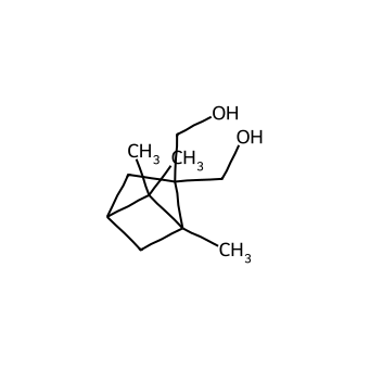 CC1(C)C2CC(CO)(CO)C1(C)C2